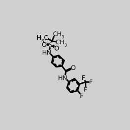 CC(C)(C)S(=O)(=O)Nc1ccc(C(=O)Nc2ccc(F)c(C(F)(F)F)c2)cc1